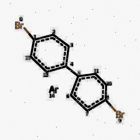 Brc1ccc(-c2ccc(Br)cc2)cc1.[Ar]